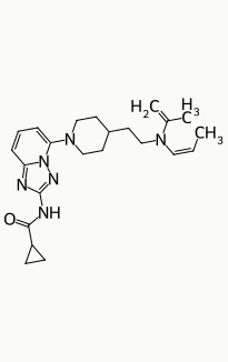 C=C(C)N(/C=C\C)CCC1CCN(c2cccc3nc(NC(=O)C4CC4)nn23)CC1